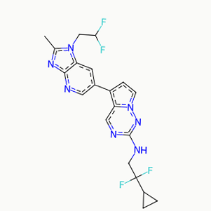 Cc1nc2ncc(-c3ccn4nc(NCC(F)(F)C5CC5)ncc34)cc2n1CC(F)F